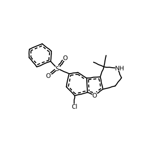 CC1(C)NCCc2oc3c(Cl)cc(S(=O)(=O)c4ccccc4)cc3c21